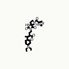 CCN(CC)c1ccc2c(C)c(CCN3C(=O)NC4(CCN(C(=O)c5cnc[nH]5)C4)C3=O)c(=O)oc2c1